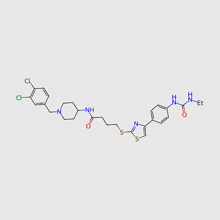 CCNC(=O)Nc1ccc(-c2csc(SCCCC(=O)NC3CCN(Cc4ccc(Cl)c(Cl)c4)CC3)n2)cc1